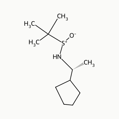 C[C@@H](N[S+]([O-])C(C)(C)C)C1CCCC1